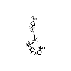 COC(=O)[C@H]1CCC[C@H](Oc2ccc(-c3nnn(C)c3COC(=O)N(C)CCCCOS(=O)(=O)c3ccc([N+](=O)[O-])cc3)nc2C)C1